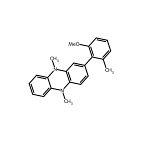 COc1cccc(C)c1-c1ccc2c(c1)N(C)c1ccccc1N2C